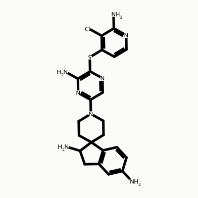 Nc1ccc2c(c1)CC(N)C21CCN(c2cnc(Sc3ccnc(N)c3Cl)c(N)n2)CC1